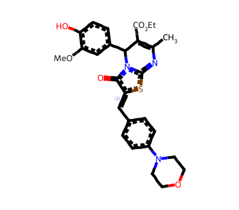 CCOC(=O)C1=C(C)N=c2s/c(=C\c3ccc(N4CCOCC4)cc3)c(=O)n2C1c1ccc(O)c(OC)c1